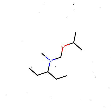 CCC(CC)N(C)COC(C)C